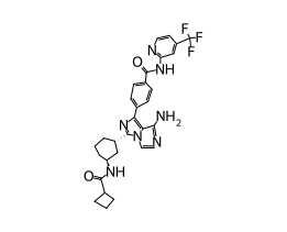 Nc1nccn2c([C@H]3CCC[C@H](NC(=O)C4CCC4)C3)nc(-c3ccc(C(=O)Nc4cc(C(F)(F)F)ccn4)cc3)c12